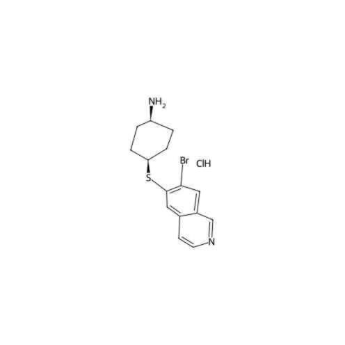 Cl.N[C@H]1CC[C@@H](Sc2cc3ccncc3cc2Br)CC1